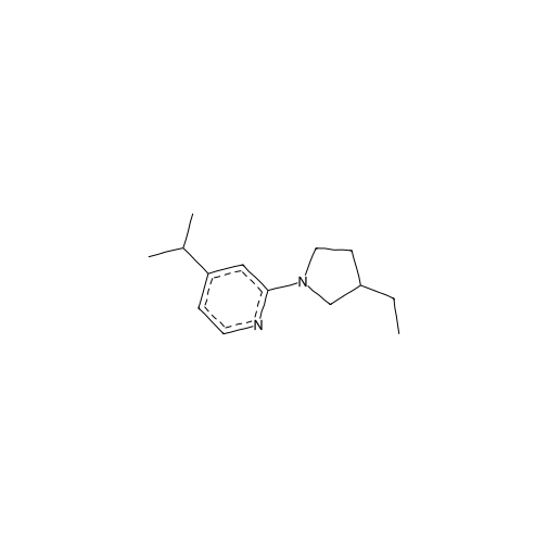 CCC1CCN(c2cc(C(C)C)ccn2)C1